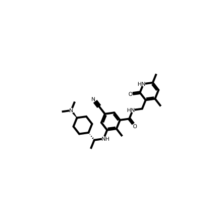 Cc1cc(C)c(CNC(=O)c2cc(C#N)cc(NC(C)[C@H]3CC[C@H](N(C)C)CC3)c2C)c(=O)[nH]1